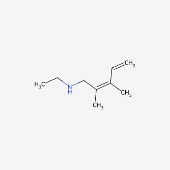 C=C/C(C)=C(/C)CNCC